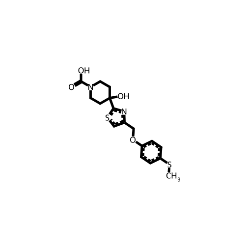 CSc1ccc(OCc2csc(C3(O)CCN(C(=O)O)CC3)n2)cc1